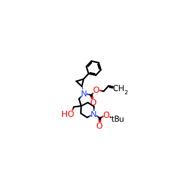 C=CCOC(=O)N(CC1(CO)CCN(C(=O)OC(C)(C)C)CC1)[C@@H]1CC1c1ccccc1